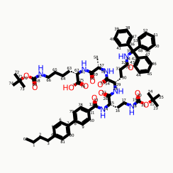 CCCCc1ccc(-c2ccc(C(=O)N[C@@H](CCNC(=O)OC(C)(C)C)C(=O)N[C@@H](CCC(=O)NC(c3ccccc3)(c3ccccc3)c3ccccc3)C(=O)N[C@@H](C)C(=O)N[C@@H](CCCCNC(=O)OC(C)(C)C)C(=O)O)cc2)cc1